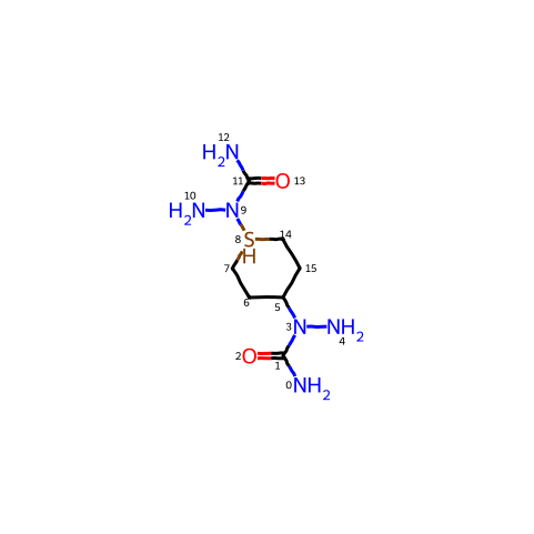 NC(=O)N(N)C1CC[SH](N(N)C(N)=O)CC1